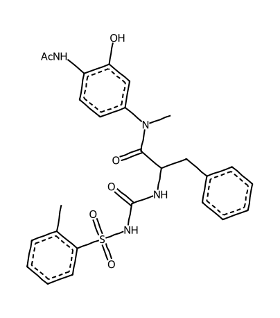 CC(=O)Nc1ccc(N(C)C(=O)C(Cc2ccccc2)NC(=O)NS(=O)(=O)c2ccccc2C)cc1O